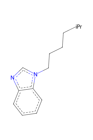 CC(C)CCCCn1cnc2ccccc21